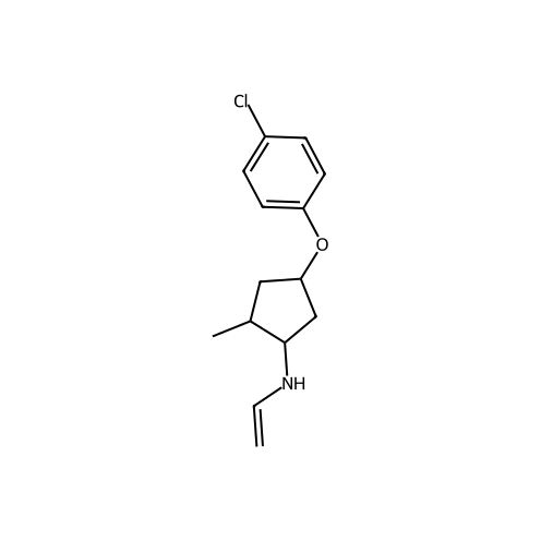 C=CNC1CC(Oc2ccc(Cl)cc2)CC1C